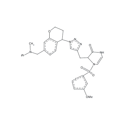 COc1cccc(S(=O)(=O)N2C=CNC(=O)C2Cc2cn(C3CCOc4cc(CN(C)C(C)C)ccc43)nn2)c1